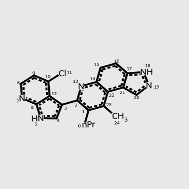 CCCc1c(-c2c[nH]c3nccc(Cl)c23)nc2ccc3[nH]ncc3c2c1C